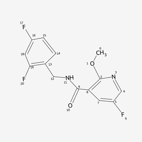 COc1ncc(F)cc1C(=O)NCc1ccc(F)cc1F